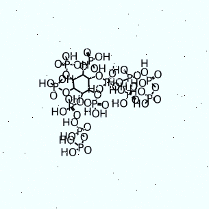 O=P(O)(O)OC1C(OP(=O)(O)O)C(OP(=O)(O)O)C(OP(=O)(O)O)C(OP(=O)(O)O)C1OP(=O)(O)O.O=P(O)(O)OP(=O)(O)O.O=P(O)(O)OP(=O)(O)O.O=P(O)(O)OP(=O)(O)O